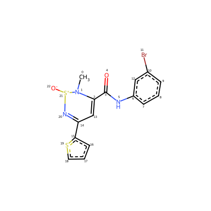 CN1C(C(=O)Nc2cccc(Br)c2)=CC(c2cccs2)=N[S+]1[O-]